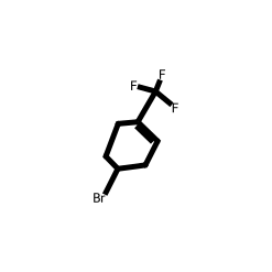 FC(F)(F)C1=CCC(Br)CC1